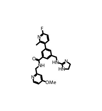 COc1ccnc(CNC(=O)c2cc(CNC3=NCCN3)cc(-c3ccc(F)nc3C)c2)c1